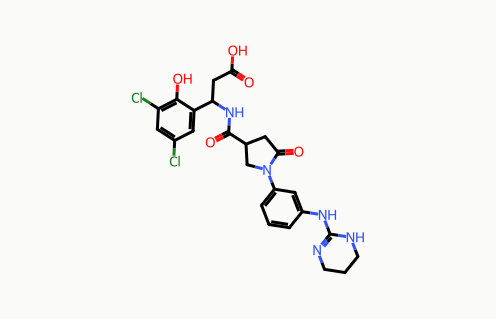 O=C(O)CC(NC(=O)C1CC(=O)N(c2cccc(NC3=NCCCN3)c2)C1)c1cc(Cl)cc(Cl)c1O